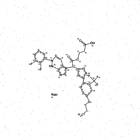 CCCOc1ccc(-c2cc(C(C(=O)OCCC(=O)O)n3cnc4c3C=CN(c3cccc(F)c3F)N4)on2)c(C(F)(F)F)c1.[NaH]